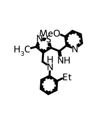 CCc1ccccc1NCc1c(C)nsc1C(=N)c1ncccc1OC